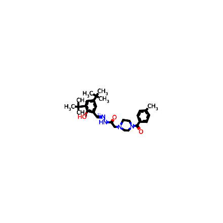 Cc1ccc(C(=O)N2CCN(CC(=O)N/N=C/c3cc(C(C)(C)C)cc(C(C)(C)C)c3O)CC2)cc1